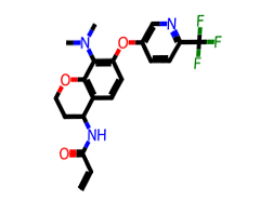 C=CC(=O)NC1CCOc2c1ccc(Oc1ccc(C(F)(F)F)nc1)c2N(C)C